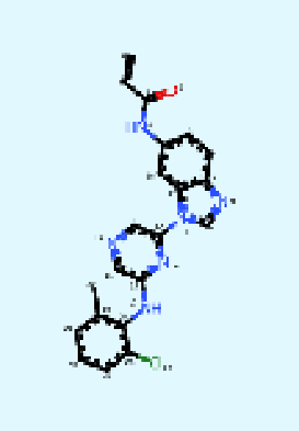 C=CC(=O)Nc1ccc2ncn(-c3cncc(Nc4c(C)cccc4Cl)n3)c2c1